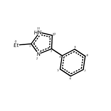 CCc1nc(-c2ccccc2)[c][nH]1